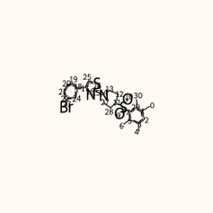 Cc1cc(C)c(C)c(S(=O)(=O)C2CCN(c3nc(-c4cccc(Br)c4)cs3)CC2)c1C